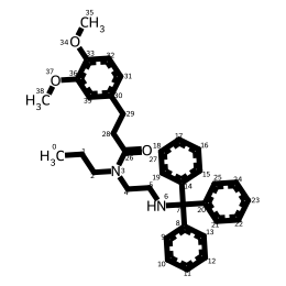 CCCN(CCNC(c1ccccc1)(c1ccccc1)c1ccccc1)C(=O)CCc1ccc(OC)c(OC)c1